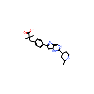 CC1CC(c2ncc3nc(-c4ccc(CC(C)(C)C(=O)O)cc4)cc-3[nH]2)CCN1